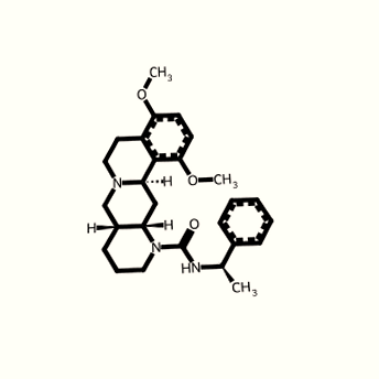 COc1ccc(OC)c2c1CCN1C[C@H]3CCCN(C(=O)N[C@H](C)c4ccccc4)[C@H]3C[C@H]21